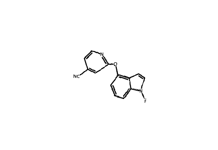 N#Cc1ccnc(Oc2cccc3c2ccn3F)c1